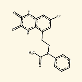 CC(=O)N(SCc1cc(Br)cc2[nH]c(=O)c(=O)[nH]c12)c1ccccc1